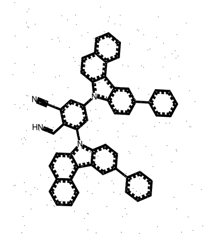 N#Cc1cc(-n2c3ccc(-c4ccccc4)cc3c3c4ccccc4ccc32)cc(-n2c3ccc(-c4ccccc4)cc3c3c4ccccc4ccc32)c1C=N